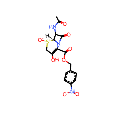 CC(=O)NC1C(=O)N2C(C(=O)OCc3ccc([N+](=O)[O-])cc3)=C(O)C[S@@+]([O-])[C@@H]12